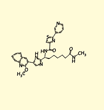 CNC(=O)CCCCC[C@H](NC(=O)c1csc(-c2cccnc2)n1)c1ncc(-c2cc3ccccc3nc2OC)[nH]1